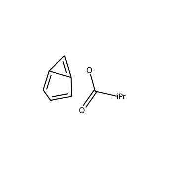 CC(C)C([O])=O.c1cc2cc-2c1